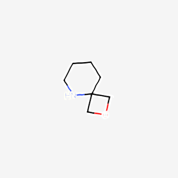 [CH]1OCC12CCCCN2